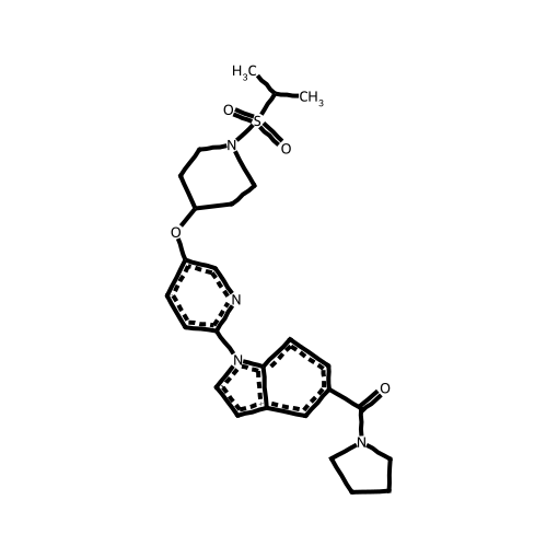 CC(C)S(=O)(=O)N1CCC(Oc2ccc(-n3ccc4cc(C(=O)N5CCCC5)ccc43)nc2)CC1